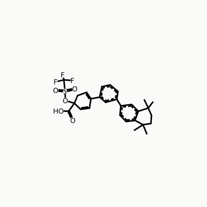 CC1(C)CCC(C)(C)c2cc(-c3cccc(C4=CCC(OS(=O)(=O)C(F)(F)F)(C(=O)O)C=C4)c3)ccc21